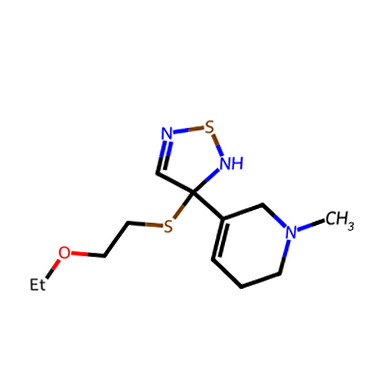 CCOCCSC1(C2=CCCN(C)C2)C=NSN1